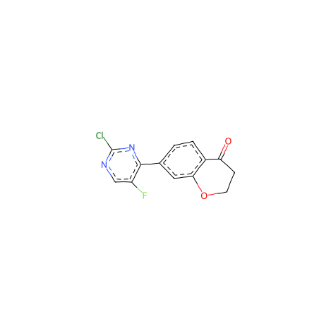 O=C1CCOc2cc(-c3nc(Cl)ncc3F)ccc21